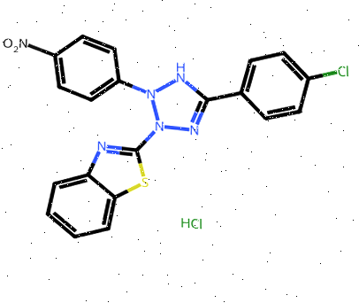 Cl.O=[N+]([O-])c1ccc(N2NC(c3ccc(Cl)cc3)=NN2c2nc3ccccc3s2)cc1